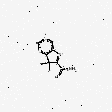 CC1(C)C(C(N)=O)=Nc2cncnc21